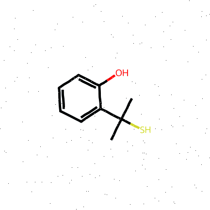 CC(C)(S)c1ccccc1O